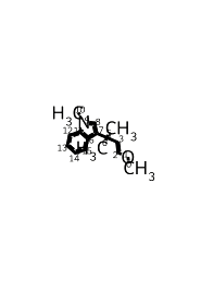 COC=CC(C)(C)c1cn(C)c2ccccc12